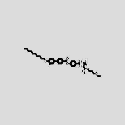 CCCCCCCCCCOc1ccc(-c2ccc(C(=O)Oc3ccc(C(=O)O[C@@H]([C@H](CCCCOCC)OC)C(F)(F)F)cc3)cc2)cc1F